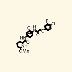 COC1CCCC(C(=O)NC23CCC(NC(=O)COc4ccc(Cl)c(F)c4)(CC2)C(O)C3)N1